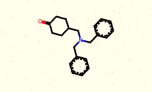 O=C1CCC(CN(Cc2ccccc2)Cc2ccccc2)CC1